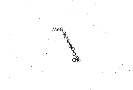 COCCOCCOCCOCCOCCOCCOCCOC(=O)Cl